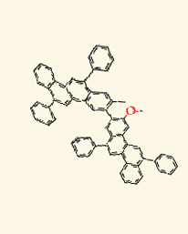 COc1cc2c(cc1-c1cc3c(cc1C)c(-c1ccccc1)cc1c4ccccc4c(-c4ccccc4)cc31)c(-c1ccccc1)cc1c3ccccc3c(-c3ccccc3)cc21